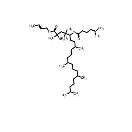 C/C=C/COC(=O)C(C)(N)CC(C)(C)C(CCC(C)CCCC(C)CCCC(C)CCCC(C)C)OC(=O)CCCN(C)C